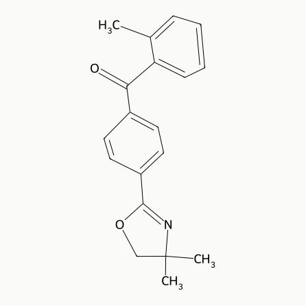 Cc1ccccc1C(=O)c1ccc(C2=NC(C)(C)CO2)cc1